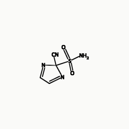 N#CC1(S(N)(=O)=O)N=CC=N1